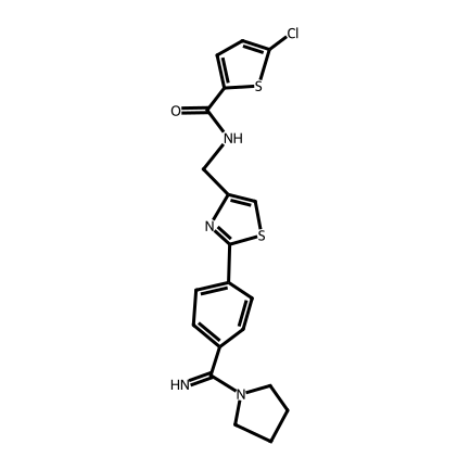 N=C(c1ccc(-c2nc(CNC(=O)c3ccc(Cl)s3)cs2)cc1)N1CCCC1